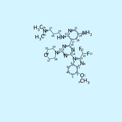 COc1cccc2c1nc(C(F)F)n2-c1nc(-c2cc(N)cnc2NCCCN(C)C)nc(N2CCOCC2)n1